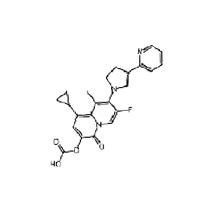 Cc1c(N2CCC(c3ccccn3)C2)c(F)cn2c(=O)c(OC(=O)O)cc(C3CC3)c12